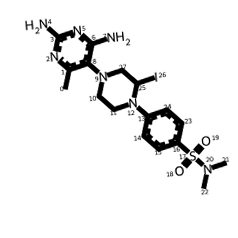 Cc1nc(N)nc(N)c1N1CCN(c2ccc(S(=O)(=O)N(C)C)cc2)C(I)C1